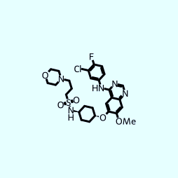 COc1cc2ncnc(Nc3ccc(F)c(Cl)c3)c2cc1O[C@H]1CC[C@H](NS(=O)(=O)CCCN2CCOCC2)CC1